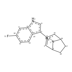 CN1C2C=C(c3c[nH]c4cc(F)ccc34)CC1CC2